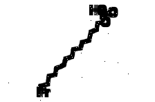 CC(C)CCCCCCCCCCCCCCC[O][Ti](=[O])[OH]